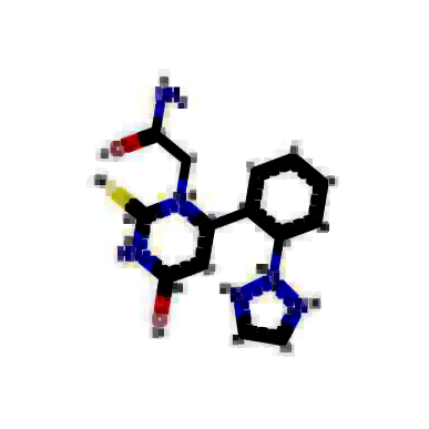 NC(=O)Cn1c(-c2ccccc2-n2nccn2)cc(=O)[nH]c1=S